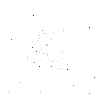 O=C1CCC(CNC2(c3ccccc3Br)CCCCC2)N1